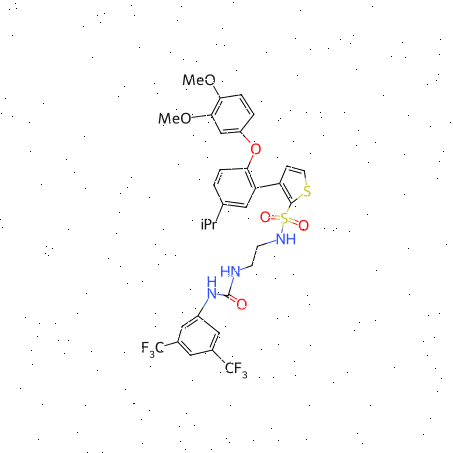 COc1ccc(Oc2ccc(C(C)C)cc2-c2ccsc2S(=O)(=O)NCCNC(=O)Nc2cc(C(F)(F)F)cc(C(F)(F)F)c2)cc1OC